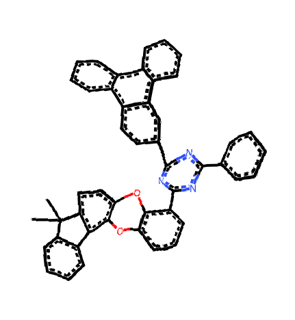 CC1(C)c2ccccc2-c2c1ccc1c2Oc2cccc(-c3nc(-c4ccccc4)nc(-c4ccc5c6ccccc6c6ccccc6c5c4)n3)c2O1